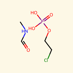 CNC=O.O=P(O)(O)OCCCl